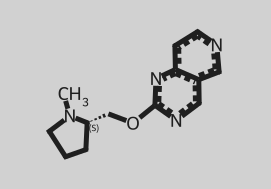 CN1CCC[C@H]1COc1ncc2cnccc2n1